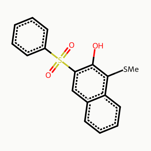 CSc1c(O)c(S(=O)(=O)c2ccccc2)cc2ccccc12